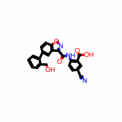 N#Cc1ccc(NC(=O)c2noc3ccc(-c4ccccc4CO)cc23)c(C(=O)O)c1